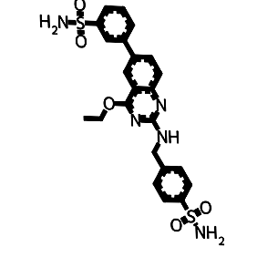 CCOc1nc(NCc2ccc(S(N)(=O)=O)cc2)nc2ccc(-c3cccc(S(N)(=O)=O)c3)cc12